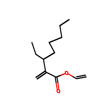 C=COC(=O)C(=C)C(CC)CCCCC